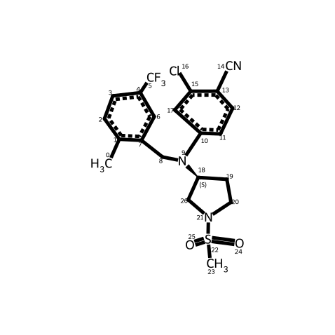 Cc1ccc(C(F)(F)F)cc1CN(c1ccc(C#N)c(Cl)c1)[C@H]1CCN(S(C)(=O)=O)C1